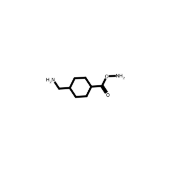 NCC1CCC(C(=O)ON)CC1